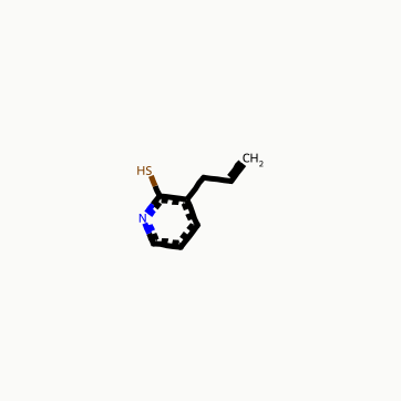 C=CCc1cccnc1S